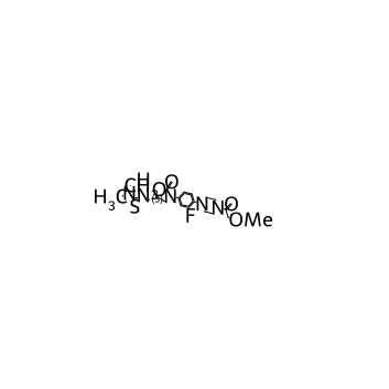 COCC(=O)N1CCN(c2ccc(N3C[C@H](CNC(=S)N(C)C)OC3=O)cc2F)CC1